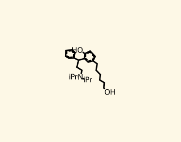 CC(C)N(CCC(c1ccccc1)c1cc(CCCCCCO)ccc1O)C(C)C